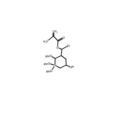 C=C(C)C(=O)OC(CC)C1CC(CCC)C[Si](OC)(OC)C1OC